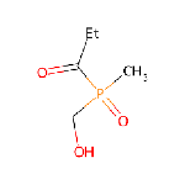 CCC(=O)P(C)(=O)CO